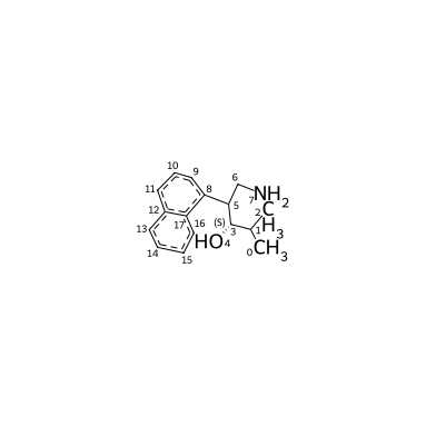 CC(C)[C@H](O)C(CN)c1cccc2ccccc12